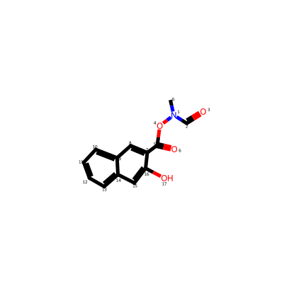 CN(C=O)OC(=O)c1cc2ccccc2cc1O